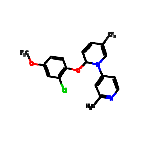 Cc1cc(N2C=C(C(F)(F)F)C=CC2Oc2ccc(OC(F)(F)F)cc2Cl)ccn1